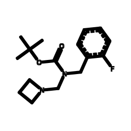 CC(C)(C)OC(=O)N(Cc1ccccc1F)CN1CCC1